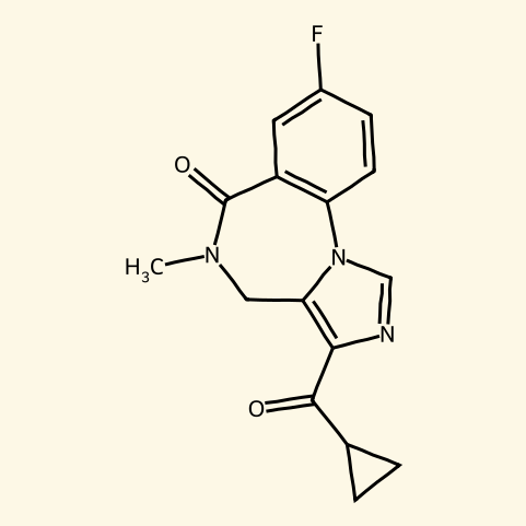 CN1Cc2c(C(=O)C3CC3)ncn2-c2ccc(F)cc2C1=O